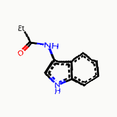 CCC(=O)Nc1c[nH]c2ccccc12